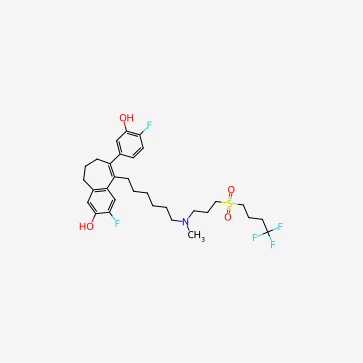 CN(CCCCCCC1=C(c2ccc(F)c(O)c2)CCCc2cc(O)c(F)cc21)CCCS(=O)(=O)CCCC(F)(F)F